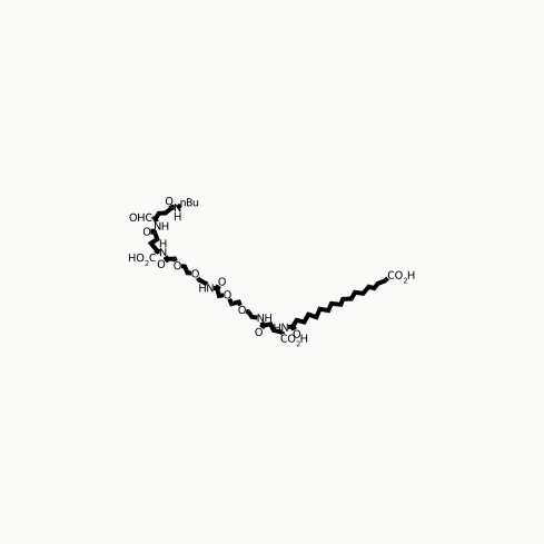 CCCCNC(=O)CC[C@@H](C=O)NC(=O)CCC(NC(=O)COCCOCCNC(=O)COCCOCCNC(=O)CCC(NC(=O)CCCCCCCCCCCCCCCCC(=O)O)C(=O)O)C(=O)O